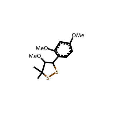 COc1ccc(C2SSC(C)(C)C2OC)c(OC)c1